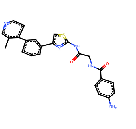 Cc1cnccc1-c1cccc(-c2csc(NC(=O)CNC(=O)c3ccc(N)cc3)n2)c1